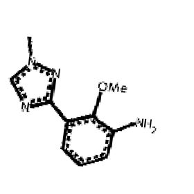 COc1c(N)cccc1-c1ncn(C)n1